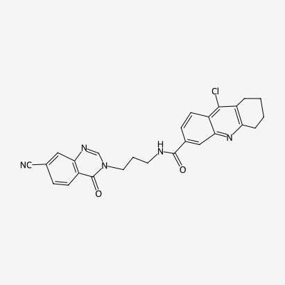 N#Cc1ccc2c(=O)n(CCCNC(=O)c3ccc4c(Cl)c5c(nc4c3)CCCC5)cnc2c1